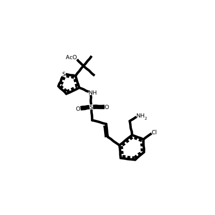 CC(=O)OC(C)(C)c1sccc1NS(=O)(=O)CC=Cc1cccc(Cl)c1CN